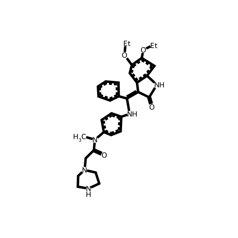 CCOc1cc2c(cc1OCC)/C(=C(/Nc1ccc(N(C)C(=O)CN3CCNCC3)cc1)c1ccccc1)C(=O)N2